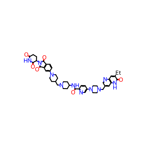 CCc1cc2ncc(CN3CCN(c4ccc(C(=O)NC5CCN(CC6CCN(c7ccc8c(c7)C(=O)N(C7CCC(=O)NC7=O)C8=O)CC6)CC5)nc4)CC3)cc2[nH]c1=O